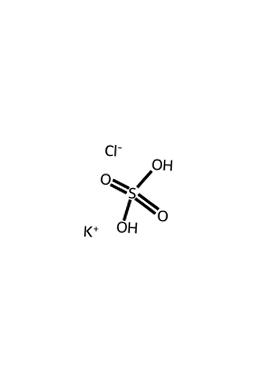 O=S(=O)(O)O.[Cl-].[K+]